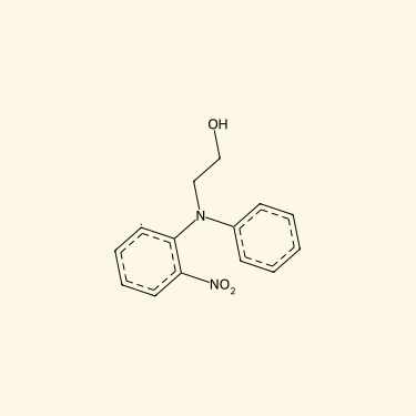 O=[N+]([O-])c1ccc[c]c1N(CCO)c1ccccc1